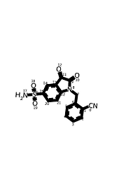 N#Cc1ccccc1CN1C(=O)C(=O)c2cc(S(N)(=O)=O)ccc21